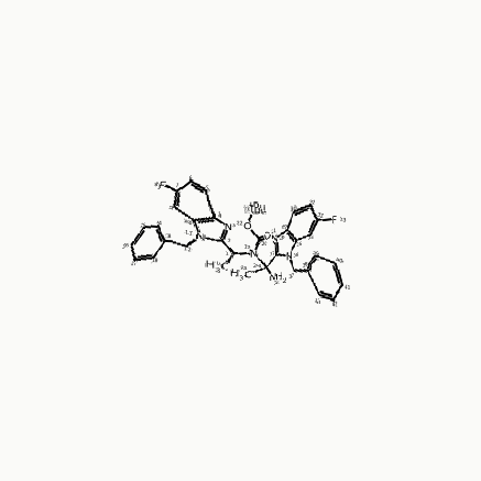 C[C@@H](c1nc2ccc(F)cc2n1Cc1ccccc1)N(C(=O)OC(C)(C)C)C(C)(N)c1nc2ccc(F)cc2n1Cc1ccccc1